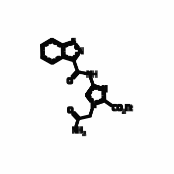 CCOC(=O)c1nc(NC(=O)c2nsc3ccccc23)cn1CC(N)=O